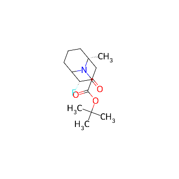 CC(C)(C)OC(=O)CN1C2CCC[C@@]1(C)CC(=O)[C@@H]2F